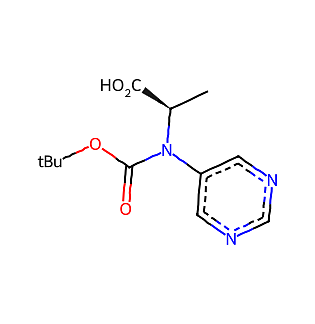 C[C@H](C(=O)O)N(C(=O)OC(C)(C)C)c1cncnc1